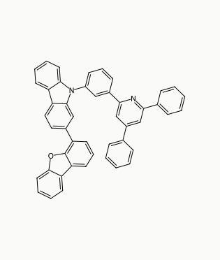 c1ccc(-c2cc(-c3ccccc3)nc(-c3cccc(-n4c5ccccc5c5ccc(-c6cccc7c6oc6ccccc67)cc54)c3)c2)cc1